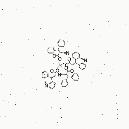 N#CC(C(=O)OCC(COC(=O)C=C(c1ccccc1)c1ccccc1C#N)(COC(=O)C=C(c1ccccc1)c1ccccc1C#N)COC(=O)C(C#N)=C(c1ccccc1)c1ccccc1)=C(c1ccccc1)c1ccccc1